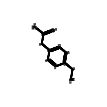 CC(=O)Cc1ccc(CC(=O)C(C)C)cc1